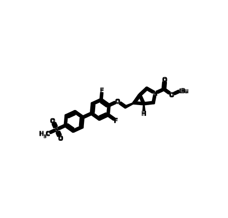 CC(C)(C)OC(=O)N1CC2[C@H](COc3c(F)cc(-c4ccc(S(C)(=O)=O)cc4)cc3F)[C@H]2C1